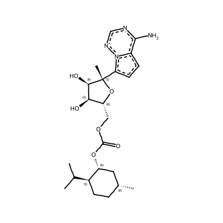 CC(C)[C@@H]1CC[C@@H](C)C[C@H]1OC(=O)OC[C@H]1O[C@@](C)(c2ccc3c(N)ncnn23)[C@H](O)[C@@H]1O